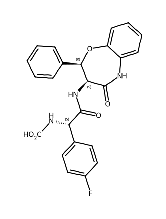 O=C(O)N[C@H](C(=O)N[C@@H]1C(=O)Nc2ccccc2O[C@@H]1c1ccccc1)c1ccc(F)cc1